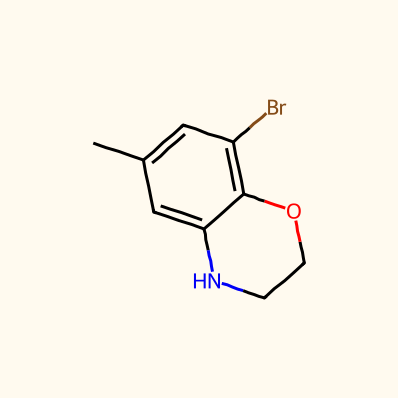 Cc1cc(Br)c2c(c1)NCCO2